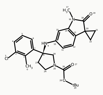 Cc1c(Cl)cccc1[C@@]1(Nc2ccc3c(c2)N(C)C(=O)C32CC2)CCN(C(=O)OC(C)(C)C)C1